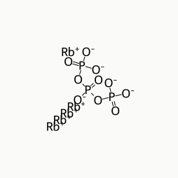 O=P([O-])([O-])OP(=O)([O-])OP(=O)([O-])[O-].[Rb+].[Rb+].[Rb+].[Rb+].[Rb+]